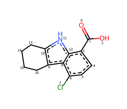 O=C(O)c1ccc(Cl)c2c3c([nH]c12)CCCC3